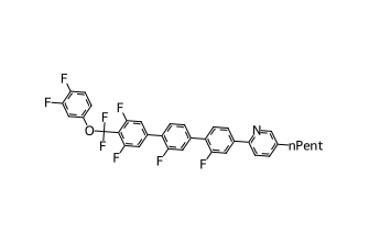 CCCCCc1ccc(-c2ccc(-c3ccc(-c4cc(F)c(C(F)(F)Oc5ccc(F)c(F)c5)c(F)c4)c(F)c3)c(F)c2)nc1